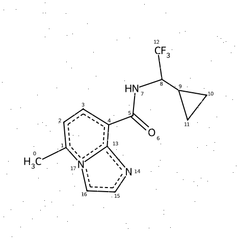 Cc1ccc(C(=O)NC(C2CC2)C(F)(F)F)c2nccn12